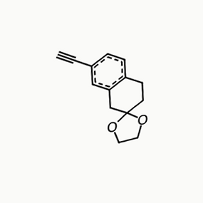 C#Cc1ccc2c(c1)CC1(CC2)OCCO1